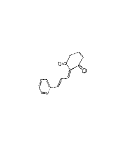 O=C1CCCC(=O)C1=CC=Cc1ccccc1